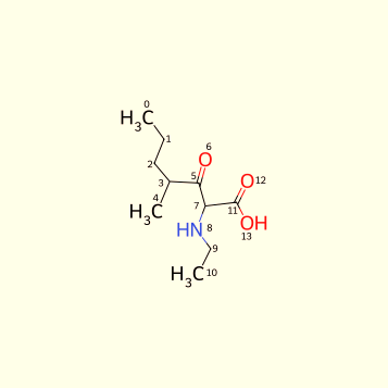 CCCC(C)C(=O)C(NCC)C(=O)O